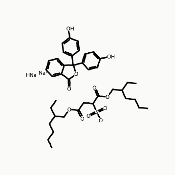 CCCCC(CC)COC(=O)CC(C(=O)OCC(CC)CCCC)S(=O)(=O)[O-].O=C1OC(c2ccc(O)cc2)(c2ccc(O)cc2)c2ccccc21.[Na+].[NaH]